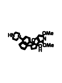 COc1cc2c(c(OC)n1)C1(O)CCC(c3ccccc3)C1(c1ccc(N3CCNCC3)cc1)O2